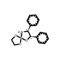 c1ccc([C@H]2O[B-]3([NH2+][C@H]2c2ccccc2)OCCO3)cc1